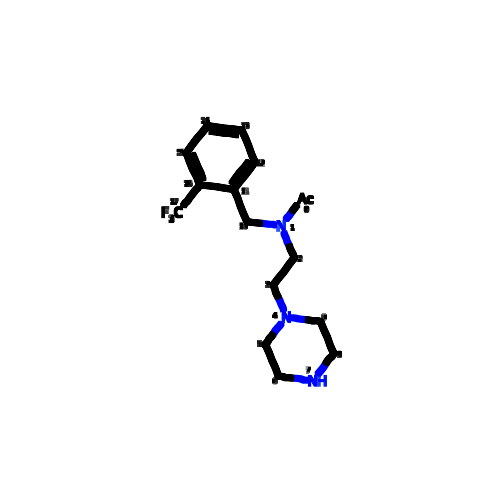 CC(=O)N(CCN1CCNCC1)Cc1ccccc1C(F)(F)F